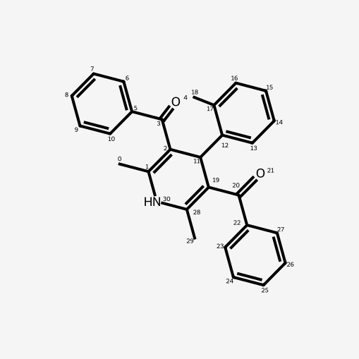 CC1=C(C(=O)c2ccccc2)C(c2ccccc2C)C(C(=O)c2ccccc2)=C(C)N1